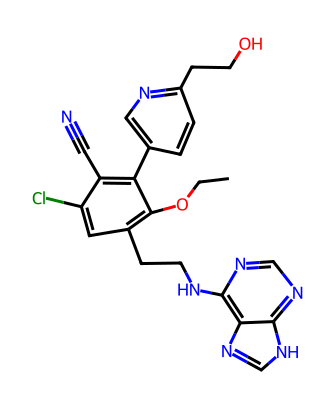 CCOc1c(CCNc2ncnc3[nH]cnc23)cc(Cl)c(C#N)c1-c1ccc(CCO)nc1